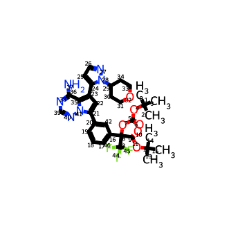 CC(C)(C)OC(=O)OC(C(=O)OC(C)(C)C)(c1cccc(-c2cc(-c3ccnn3C3CCOCC3)c3c(N)ncnn23)c1)C(F)(F)F